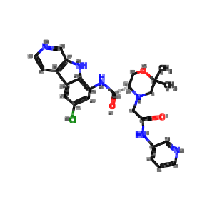 CC1(C)CN(CC(=O)Nc2cccnc2)[C@H](C(=O)Nc2cc(Cl)cc3c2[nH]c2cnccc23)CO1